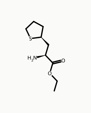 CCOC(=O)[C@@H](N)C[C@@H]1CCCS1